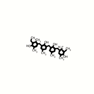 CCc1c(C)c(Cc2cc(C)cc(Cc3cc(C)cc(Cc4cc(C)c(O)c(CC)c4C)c3O)c2O)cc(C)c1O